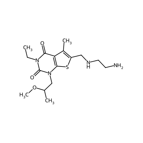 CCn1c(=O)c2c(C)c(CNCCN)sc2n(CC(C)OC)c1=O